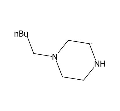 CCCCCN1C[CH]NCC1